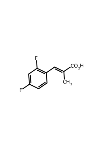 C/C(=C\c1ccc(F)cc1F)C(=O)O